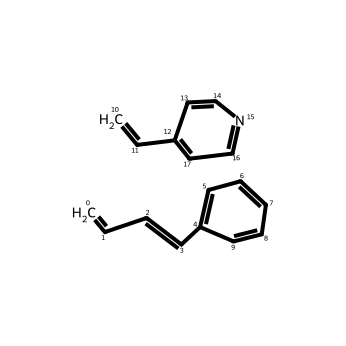 C=CC=Cc1ccccc1.C=Cc1ccncc1